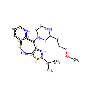 COCCCC1CN(C2=c3ncccc3=CNc3sc(C(C)C)nc32)CCN1